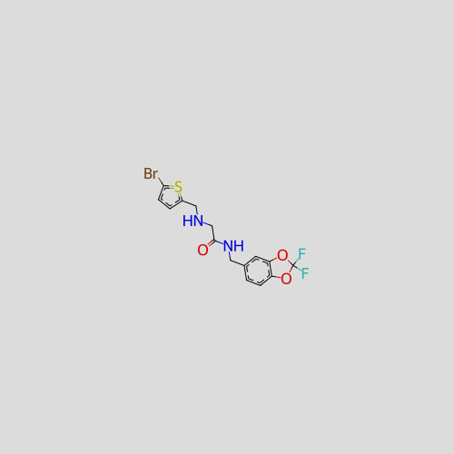 O=C(CNCc1ccc(Br)s1)NCc1ccc2c(c1)OC(F)(F)O2